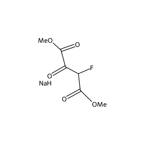 COC(=O)C(=O)C(F)C(=O)OC.[NaH]